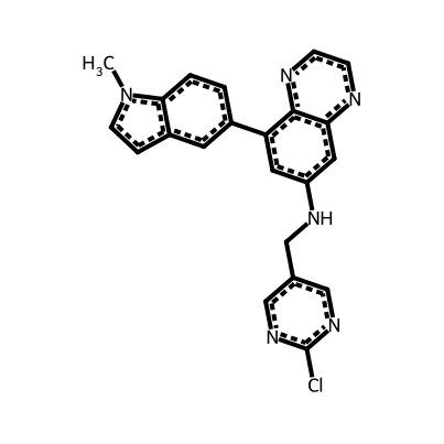 Cn1ccc2cc(-c3cc(NCc4cnc(Cl)nc4)cc4nccnc34)ccc21